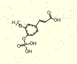 COc1cc(C=CC(=O)O)ccc1OP(=O)(O)O